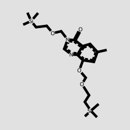 Cc1cc(OCOCC[Si](C)(C)C)c2ncn(COCC[Si](C)(C)C)c(=O)c2c1